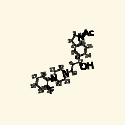 CC(=O)N1CCc2cc(C(O)CCN3CCN(c4ccccc4F)CC3)ccc21